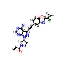 C=CC(=O)N1CCC(n2nc(C#Cc3ccc4oc(C5(F)CC5)nc4c3)c3c(N)ncnc32)C1